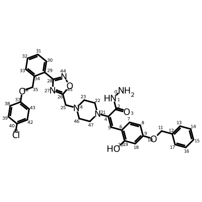 NNC(=O)C(=Cc1ccc(OCc2ccccc2)cc1O)N1CCN(Cc2nc(-c3ccccc3COc3ccc(Cl)cc3)no2)CC1